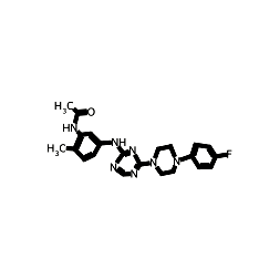 CC(=O)Nc1cc(Nc2ncnc(N3CCN(c4ccc(F)cc4)CC3)n2)ccc1C